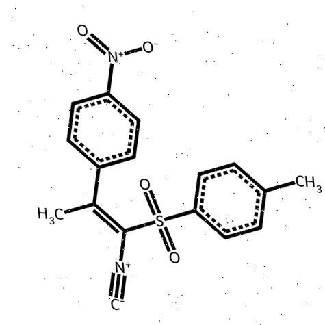 [C-]#[N+]C(=C(C)c1ccc([N+](=O)[O-])cc1)S(=O)(=O)c1ccc(C)cc1